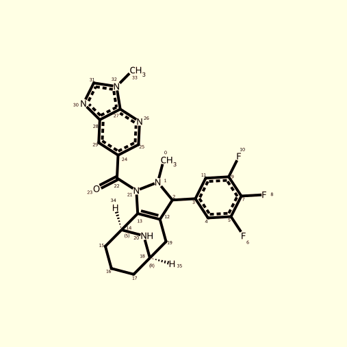 CN1C(c2cc(F)c(F)c(F)c2)C2=C([C@@H]3CCC[C@H](C2)N3)N1C(=O)c1cnc2c(c1)ncn2C